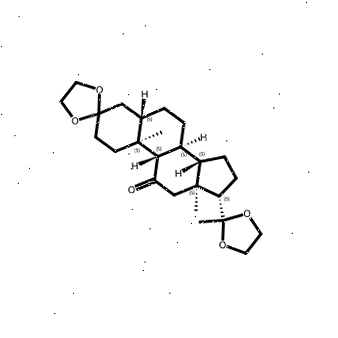 CC1([C@H]2CC[C@H]3[C@@H]4CC[C@H]5CC6(CC[C@]5(C)[C@H]4C(=O)C[C@]23C)OCCO6)OCCO1